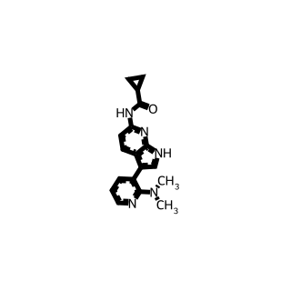 CN(C)c1ncccc1-c1c[nH]c2nc(NC(=O)C3CC3)ccc12